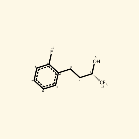 O[C@@H](CCc1ccccc1F)C(F)(F)F